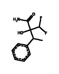 CC(c1ccccc1)C(O)(C(N)=O)C(F)F